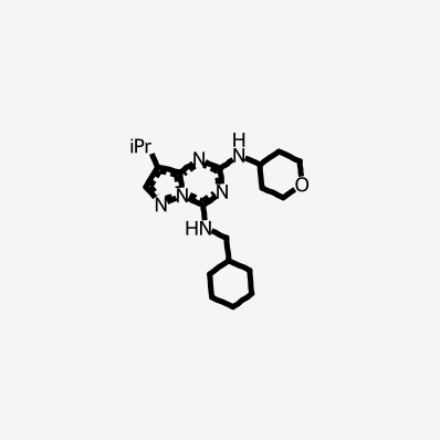 CC(C)c1cnn2c(NCC3CCCCC3)nc(NC3CCOCC3)nc12